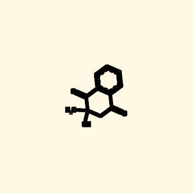 CC1(O)CC(=O)c2ccccc2C1=O